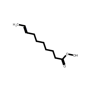 C/C=C/CCCCCCC(=O)OO